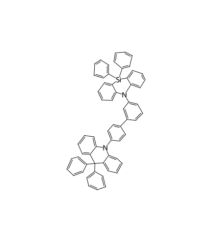 c1ccc(C2(c3ccccc3)c3ccccc3N(c3ccc(-c4cccc(N5c6ccccc6[Si](c6ccccc6)(c6ccccc6)c6ccccc65)c4)cc3)c3ccccc32)cc1